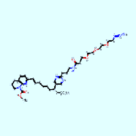 CCOC(=O)C[C@H](CCCCCCc1ccc2c(n1)N(C(=O)OC(C)(C)C)CCC2)c1cnc(CCCNC(=O)CCOCCOCCOCCN=[N+]=[N-])nc1